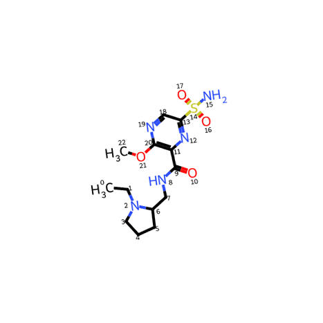 CCN1CCCC1CNC(=O)c1nc(S(N)(=O)=O)cnc1OC